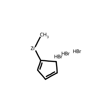 Br.Br.Br.[CH3][Zr][C]1=CC=CC1